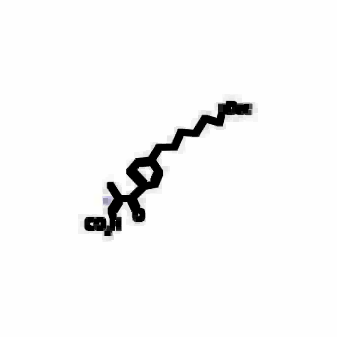 CCCCCCCCCCCCCCCCc1ccc(C(=O)/C(C)=C\C(=O)O)cc1